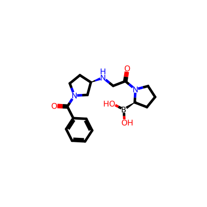 O=C(c1ccccc1)N1CC[C@@H](NCC(=O)N2CCC[C@H]2B(O)O)C1